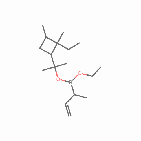 C=CC(C)B(OCC)OC(C)(C)C1CC(C)C1(C)CC